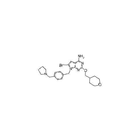 Nc1nc(OCC2CCOCC2)nc2c1cc(Br)n2Cc1ccc(CN2CCCC2)cc1